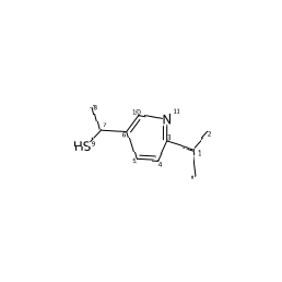 CC(C)c1ccc(C(C)S)cn1